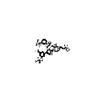 COC(=O)CCN1CCN2c3ncc(-c4cc(Cl)cc(OC(F)(F)F)c4)cc3N(S(=O)(=O)c3cccc(C(F)(F)F)c3)C[C@@H]2C1